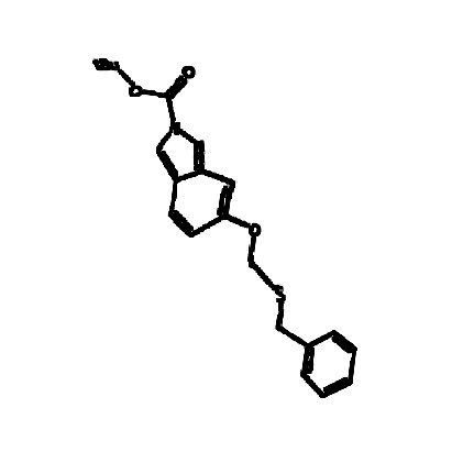 CC(C)(C)OC(=O)n1cc2ccc(OCSCc3ccccc3)cc2c1